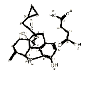 C=C1CC[C@@]2(O)[C@H]3Cc4ccc(O)c5c4[C@@]2(CCN3CC2CC2)[C@H]1O5.O=C(O)CCC(=O)O